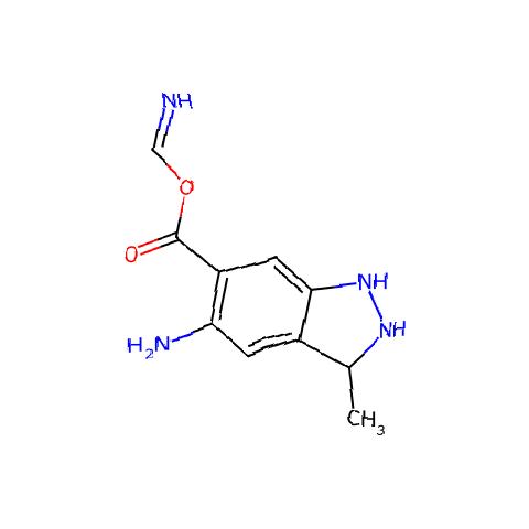 CC1NNc2cc(C(=O)OC=N)c(N)cc21